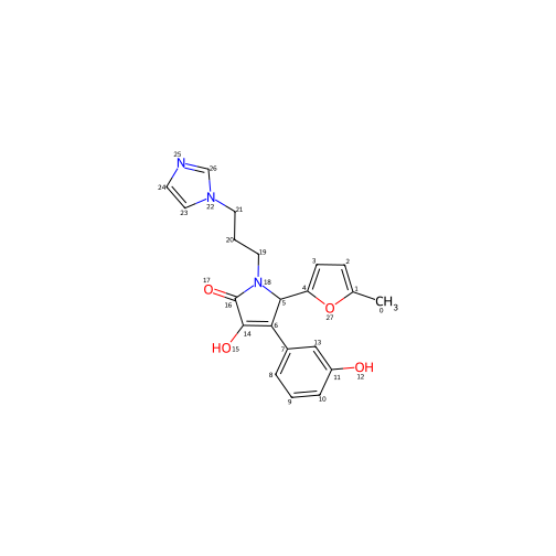 Cc1ccc(C2C(c3cccc(O)c3)=C(O)C(=O)N2CCCn2ccnc2)o1